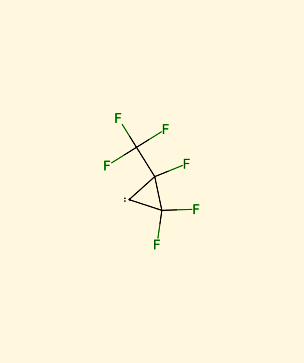 FC(F)(F)C1(F)[C]C1(F)F